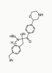 CCCCN(C)C(CCC)(Cc1ccc(CC(C)C)cc1)C(=O)c1ccc(C2CNCCO2)cc1